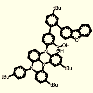 CC(C)(C)c1ccc(N2c3ccc(C(C)(C)C)cc3N3c4cc(C(C)(C)C)ccc4N(c4ccc(-c5ccc(C(C)(C)C)cc5-c5ccc6oc7ccccc7c6c5)cc4B(O)O)c4cccc2c43)cc1